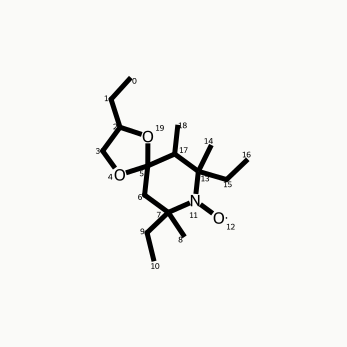 CCC1COC2(CC(C)(CC)N([O])C(C)(CC)C2C)O1